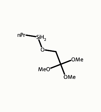 CCC[SiH2]OCC(OC)(OC)OC